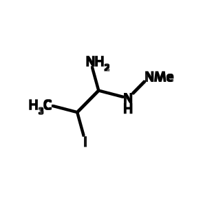 CNNC(N)C(C)I